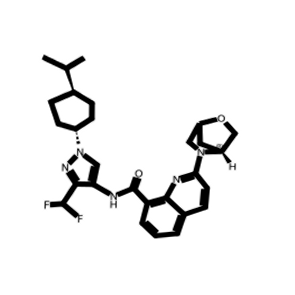 CC(C)[C@H]1CC[C@H](n2cc(NC(=O)c3cccc4ccc(N5CC6C[C@@H]5CO6)nc34)c(C(F)F)n2)CC1